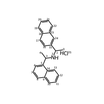 CC(NC(C)c1cccc2ccccc12)c1ccc2ccccc2c1.Cl